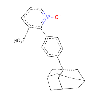 O=C(O)c1ccc[n+]([O-])c1-c1ccc(C23CC4CC(CC(C4)C2)C3)cc1